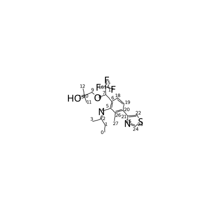 CC/C(C)=N\c1c(C(OCC(C)(C)O)C(F)(F)F)ccc(-c2cscn2)c1C